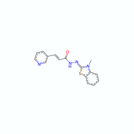 Cn1/c(=N/NC(=O)/C=C/c2cccnc2)sc2ccccc21